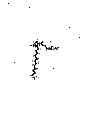 CCCCCCCCCCCCCC(C)[n+]1cc[nH]c1CCCCCCCCCCCCC(C)C